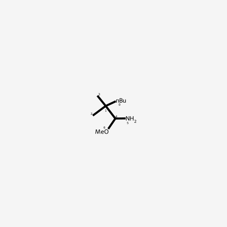 CCCCC(C)(C)C(N)OC